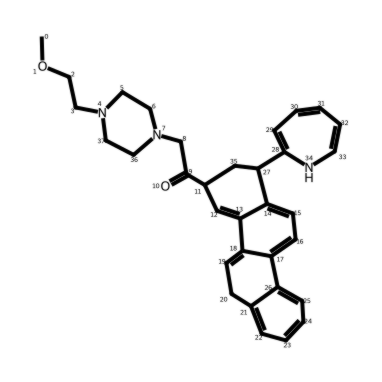 COCCN1CCN(CC(=O)C2C=c3c(ccc4c3=CCc3ccccc3-4)C(C3=CC=CC=CN3)C2)CC1